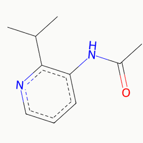 CC(=O)Nc1cccnc1C(C)C